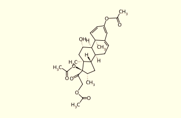 CC(=O)OCC(=O)[C@@]1(OC(C)=O)[C@@H](C)C[C@H]2[C@@H]3CC=C4C=C(OC(C)=O)C=C[C@]4(C)[C@@H]3[C@@H](O)C[C@@]21C